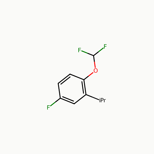 CC(C)c1cc(F)ccc1OC(F)F